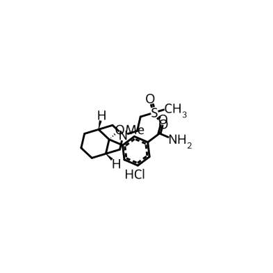 CO[C@@]1(c2cccc(C(N)=O)c2)[C@@H]2CCC[C@H]1CN(CCS(C)(=O)=O)C2.Cl